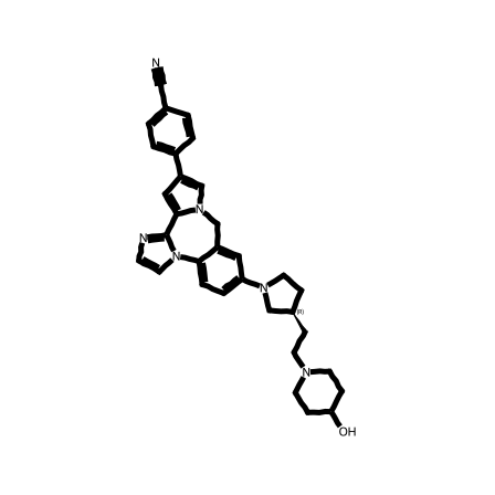 N#Cc1ccc(-c2cc3n(c2)Cc2cc(N4CC[C@@H](CCN5CCC(O)CC5)C4)ccc2-n2ccnc2-3)cc1